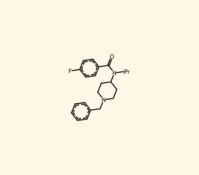 CC(C)N(C(=O)c1ccc(F)cc1)C1CCN(Cc2ccccc2)CC1